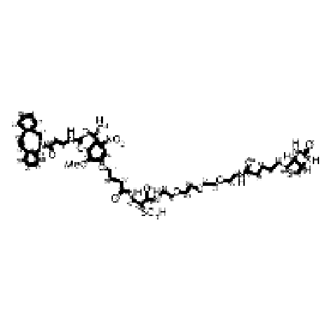 COc1cc(C(C)OC(=O)NCCC(=O)N2Cc3ccccc3C#Cc3ccccc32)c([N+](=O)[O-])cc1OCCCC(=O)NCC(C(=O)NCCOCCOCCOCCNC(=O)CCCC[C@@H]1SC[C@@H]2NC(=O)N[C@@H]21)S(=O)(=O)O